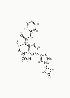 C[C@H]1CN(C(=O)O)c2cc(-c3cnn(C4COC4)c3)ccc2N1C(=O)Cc1ccccc1